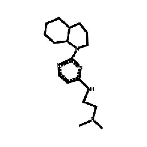 CN(C)CCNc1ccnc(N2CCCC3CCCCC32)n1